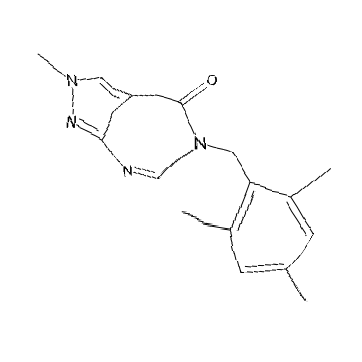 Cc1cc(C)c(Cn2cnc3nn(C)cc3c2=O)c(C)c1